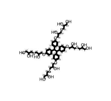 OCC(O)CSCC(O)COc1ccc(C(c2ccc(OCC(O)CSCC(O)CO)cc2)C(c2ccc(OCC(O)CSCC(O)CO)cc2)c2ccc(OCC(O)CSCC(O)CO)cc2)cc1